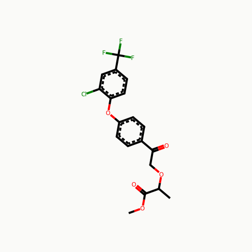 COC(=O)C(C)OCC(=O)c1ccc(Oc2ccc(C(F)(F)F)cc2Cl)cc1